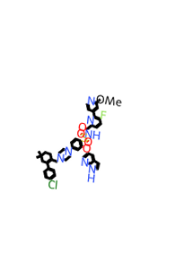 COc1cc(-c2nc(C(=O)NS(=O)(=O)c3ccc(N4CCN(CC5=C(c6ccc(Cl)cc6)CC(C)(C)CC5)CC4)cc3Oc3cnc4[nH]ccc4c3)ccc2F)ccn1